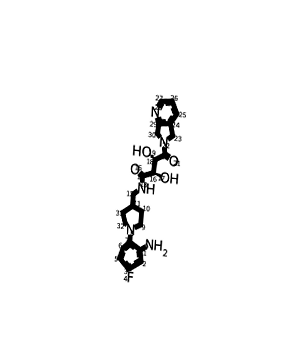 Nc1cc(F)ccc1N1CCC(CNC(=O)[C@H](O)[C@@H](O)C(=O)N2Cc3cccnc3C2)CC1